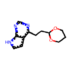 c1nc(CCC2OCCCO2)c2cc[nH]c2n1